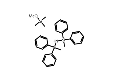 CO[Si](C)(C)C.C[Si](N[Si](C)(c1ccccc1)c1ccccc1)(c1ccccc1)c1ccccc1